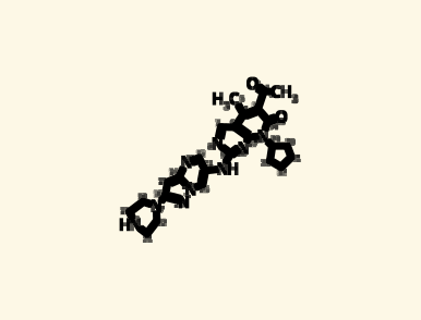 CC(=O)c1c(C)c2cnc(Nc3cnc4cc(N5CCNCC5)nn4c3)nc2n(C2CCCC2)c1=O